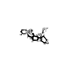 C[C@H]1CCCS(=O)(=O)N1Cc1ccc(C2(NCC(=O)O)CCOCC2)cc1F